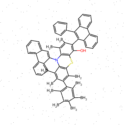 Bc1c(B)c(B)c(-c2c(B)c(B)c3c(c2B)Sc2c(O)c(-c4c(-c5ccccc5)c5ccccc5c5ccccc45)c(B)c(B)c2N3c2cc3ccccc3c3ccccc23)c(B)c1B